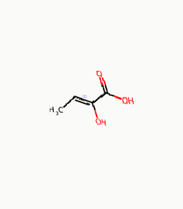 C/C=C(\O)C(=O)O